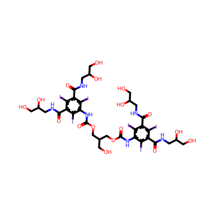 O=C(Nc1c(I)c(C(=O)NCC(O)CO)c(I)c(C(=O)NCC(O)CO)c1I)OCC(CO)COC(=O)Nc1c(I)c(C(=O)NCC(O)CO)c(I)c(C(=O)NCC(O)CO)c1I